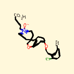 CCc1cccc(Cl)c1COc1ccc2c(c1)OCC21CC[N+]([O-])(CCCC(=O)O)CC1